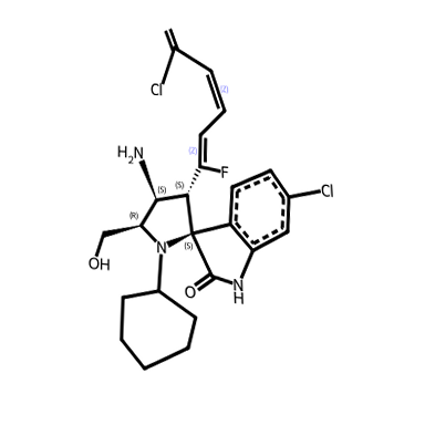 C=C(Cl)/C=C\C=C(/F)[C@H]1[C@H](N)[C@H](CO)N(C2CCCCC2)[C@@]12C(=O)Nc1cc(Cl)ccc12